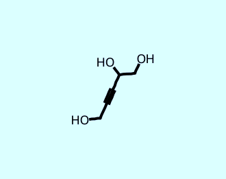 OCC#CC(O)CO